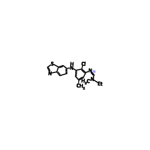 CCN(C)/C=N\c1cc(C)cc(Nc2ccc3ncsc3c2)c1Cl